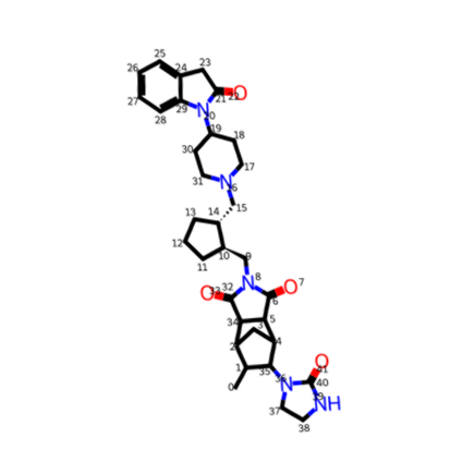 CC1C2CC(C3C(=O)N(C[C@H]4CCC[C@@H]4CN4CCC(N5C(=O)Cc6ccccc65)CC4)C(=O)C23)C1N1CCNC1=O